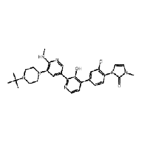 CNc1ncc(-c2nccc(-c3ccc(-n4ccn(C)c4=O)c(Cl)c3)c2O)cc1N1CCN(C(C)(C)C)CC1